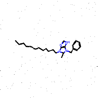 CCCCCCCCCCCCN1c2nc[nH]c2N(Cc2ccccc2)C1C